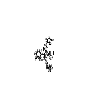 O=C1NC(=NCCc2cccs2)C(c2cccc(F)c2F)N1CCCn1ccnc1